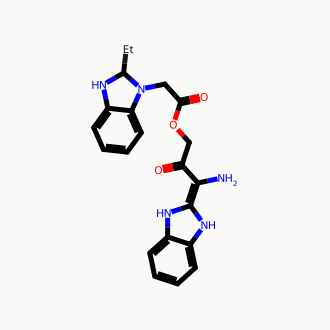 CCC1Nc2ccccc2N1CC(=O)OCC(=O)C(N)=C1Nc2ccccc2N1